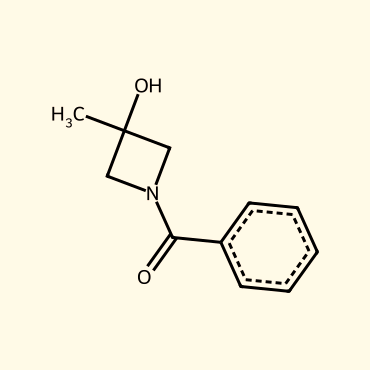 CC1(O)CN(C(=O)c2ccccc2)C1